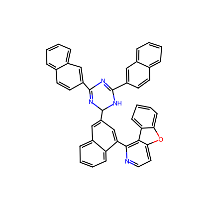 c1ccc2cc(C3=NC(c4cc(-c5nccc6oc7ccccc7c56)c5ccccc5c4)NC(c4ccc5ccccc5c4)=N3)ccc2c1